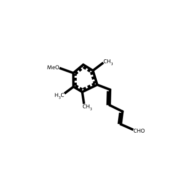 COc1cc(C)c(/C=C/C=C/C=O)c(C)c1C